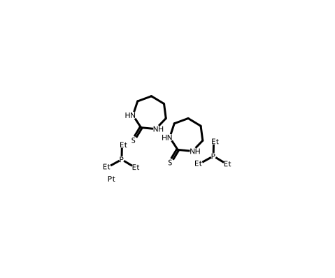 CCP(CC)CC.CCP(CC)CC.S=C1NCCCCN1.S=C1NCCCCN1.[Pt]